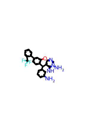 N=c1c2c(ncn1N)Oc1cc(-c3ccccc3C(F)(F)F)ccc1C2c1cccc(N)c1